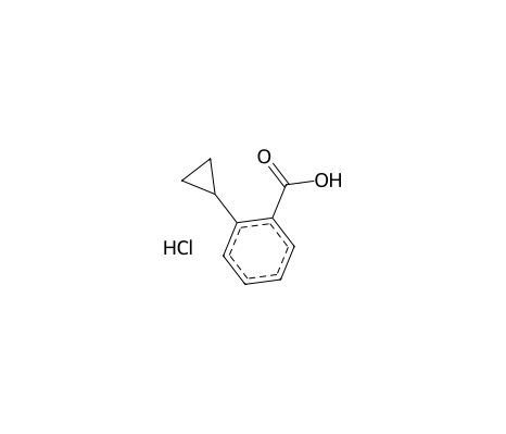 Cl.O=C(O)c1ccccc1C1CC1